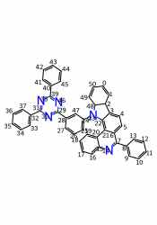 C1=CC2c3ccc4c(-c5ccccc5)nc5ccccc5c4c3N(c3cccc(-c4nc(-c5ccccc5)nc(-c5ccccc5)n4)c3)C2C=C1